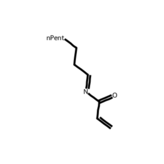 C=CC(=O)N=CCCCCCCC